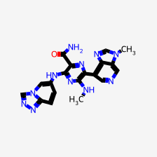 CNc1nc(Nc2ccc3nncn3c2)c(C(N)=O)nc1-c1cncc2c1ncn2C